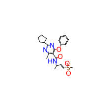 Cc1nc(C2CCCC2)nc(Oc2ccccc2)c1C(=O)NC(C)/C=C/S(C)(=O)=O